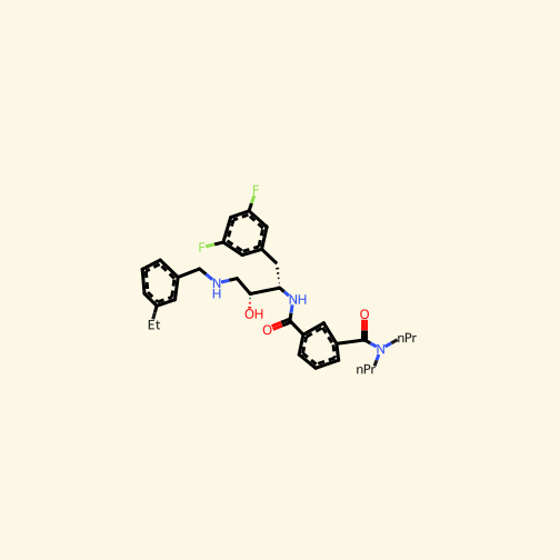 CCCN(CCC)C(=O)c1cccc(C(=O)N[C@@H](Cc2cc(F)cc(F)c2)[C@H](O)CNCc2cccc(CC)c2)c1